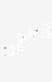 COc1cc2nccc(Oc3ccc(NC(=O)C(=O)NC4=CCc5ccccc5C4C=O)cc3F)c2cc1OC